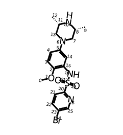 COc1ccc(N2C[C@@H](C)N[C@@H](C)C2)cc1NS(=O)(=O)c1ccc(Br)cn1